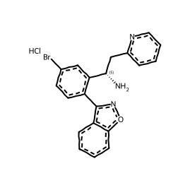 Cl.N[C@@H](Cc1ccccn1)c1cc(Br)ccc1-c1noc2ccccc12